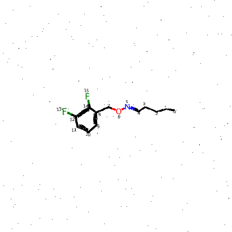 CCCCC=NOCc1cccc(F)c1F